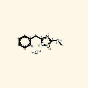 CNc1nc(Cc2ccccc2)no1.Cl